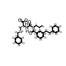 CCCN(C(=O)N[C@@H](CSCc1ccccc1)C(=O)O)C(=O)c1cccc(CCc2ccccc2)c1